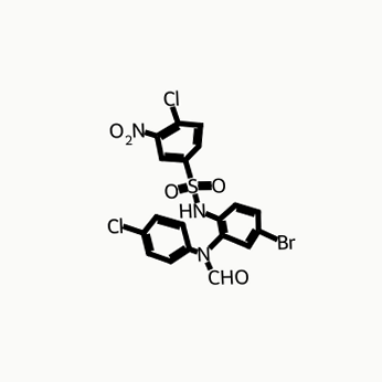 O=CN(c1ccc(Cl)cc1)c1cc(Br)ccc1NS(=O)(=O)c1ccc(Cl)c([N+](=O)[O-])c1